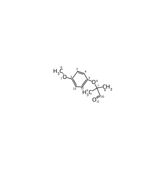 COc1ccc(OC(C)(C)[C]=O)cc1